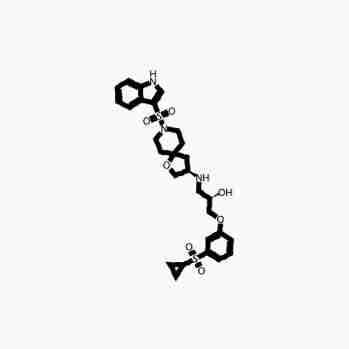 O=S(=O)(c1cccc(OC[C@@H](O)CN[C@H]2COC3(CCN(S(=O)(=O)c4c[nH]c5ccccc45)CC3)C2)c1)C1CC1